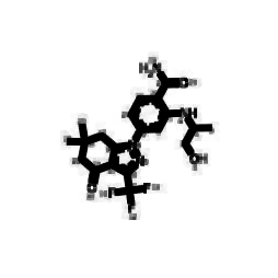 CC(CO)Nc1cc(-n2nc(C(F)(F)F)c3c2CC(C)(C)CC3=O)ccc1C(N)=O